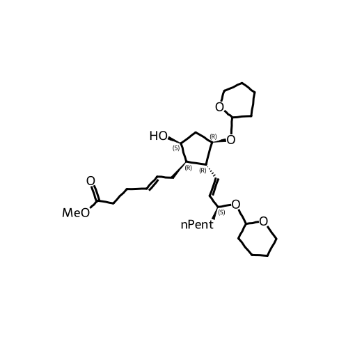 CCCCC[C@@H](C=C[C@@H]1[C@@H](CC=CCCC(=O)OC)[C@@H](O)C[C@H]1OC1CCCCO1)OC1CCCCO1